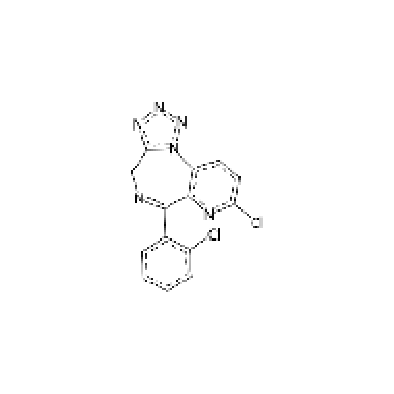 Clc1ccc2c(n1)C(c1ccccc1Cl)=NCc1nnnn1-2